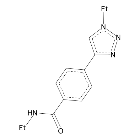 CCNC(=O)c1ccc(-c2cn(CC)nn2)cc1